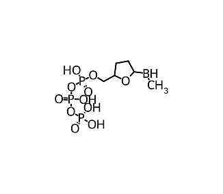 CBC1CCC(COP(=O)(O)OP(=O)(O)OP(=O)(O)O)O1